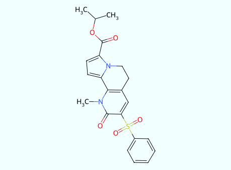 CC(C)OC(=O)c1ccc2n1CCc1cc(S(=O)(=O)c3ccccc3)c(=O)n(C)c1-2